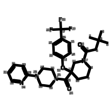 CC(C)(C)CC(=O)N1CCCC(Oc2ccc(C(F)(F)F)cc2)(C(=O)N2CCN(c3ccccn3)CC2)C1